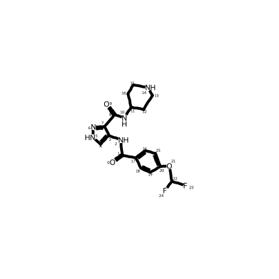 O=C(Nc1c[nH]nc1C(=O)NC1CCNCC1)c1ccc(OC(F)F)cc1